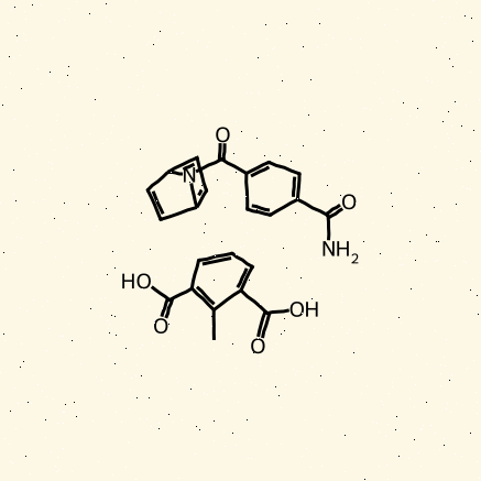 Cc1c(C(=O)O)cccc1C(=O)O.NC(=O)c1ccc(C(=O)n2c3ccc2cc3)cc1